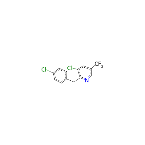 FC(F)(F)c1cnc(Cc2ccc(Cl)cc2)c(Cl)c1